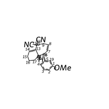 COc1cccc([C@@H]2C=CCC(C#N)(C#N)C3=CCCC[C@H]32)c1